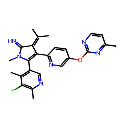 CC(C)=C1C(=N)N(C)C(c2cnc(C)c(F)c2C)=C1c1ccc(Oc2nccc(C)n2)cn1